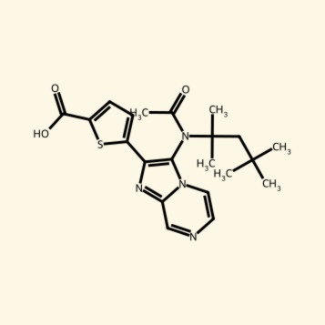 CC(=O)N(c1c(-c2ccc(C(=O)O)s2)nc2cnccn12)C(C)(C)CC(C)(C)C